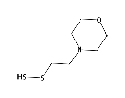 SSCCN1CCOCC1